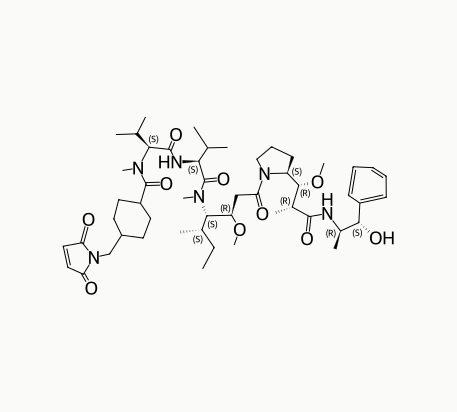 CC[C@H](C)[C@@H]([C@@H](CC(=O)N1CCC[C@H]1[C@H](OC)[C@@H](C)C(=O)N[C@H](C)[C@@H](O)c1ccccc1)OC)N(C)C(=O)[C@@H](NC(=O)[C@H](C(C)C)N(C)C(=O)C1CCC(CN2C(=O)C=CC2=O)CC1)C(C)C